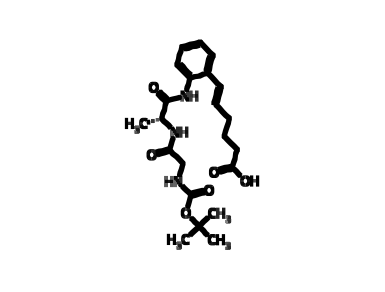 C[C@@H](NC(=O)CNC(=O)OC(C)(C)C)C(=O)Nc1ccccc1/C=C/CCCC(=O)O